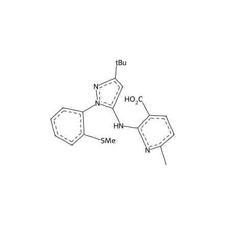 CSc1ccccc1-n1nc(C(C)(C)C)cc1Nc1nc(C)ccc1C(=O)O